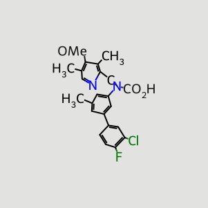 COc1c(C)cnc(CN(C(=O)O)c2cc(C)cc(-c3ccc(F)c(Cl)c3)c2)c1C